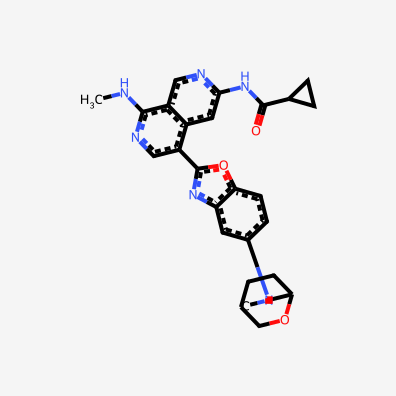 CNc1ncc(-c2nc3cc(N4CC5CCC(C4)OC5)ccc3o2)c2cc(NC(=O)C3CC3)ncc12